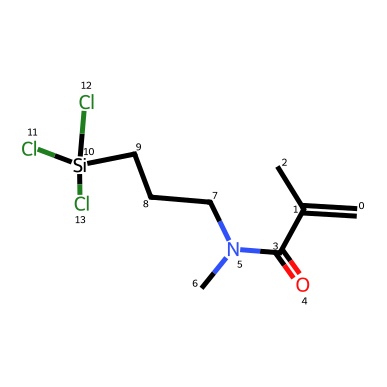 C=C(C)C(=O)N(C)CCC[Si](Cl)(Cl)Cl